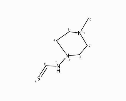 CN1CCN(NC=S)CC1